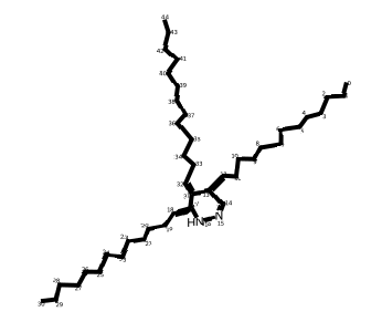 CCCCCCCCCCCCC=C1C=NNC(=CCCCCCCCCCCCC)C1=CCCCCCCCCCCCC